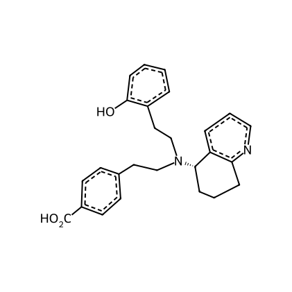 O=C(O)c1ccc(CCN(CCc2ccccc2O)[C@H]2CCCc3ncccc32)cc1